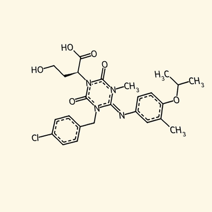 Cc1cc(/N=c2\n(C)c(=O)n([C@@H](CCO)C(=O)O)c(=O)n2Cc2ccc(Cl)cc2)ccc1OC(C)C